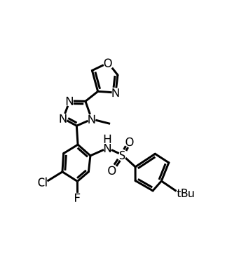 Cn1c(-c2cocn2)nnc1-c1cc(Cl)c(F)cc1NS(=O)(=O)c1ccc(C(C)(C)C)cc1